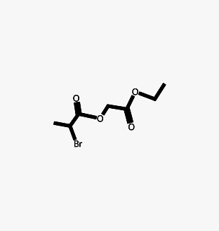 CCOC(=O)COC(=O)C(C)Br